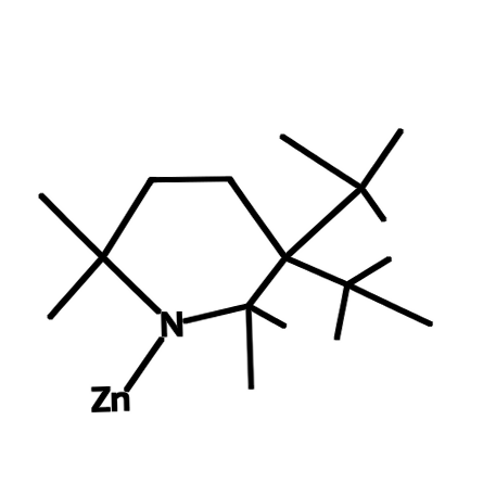 CC1(C)CCC(C(C)(C)C)(C(C)(C)C)C(C)(C)[N]1[Zn]